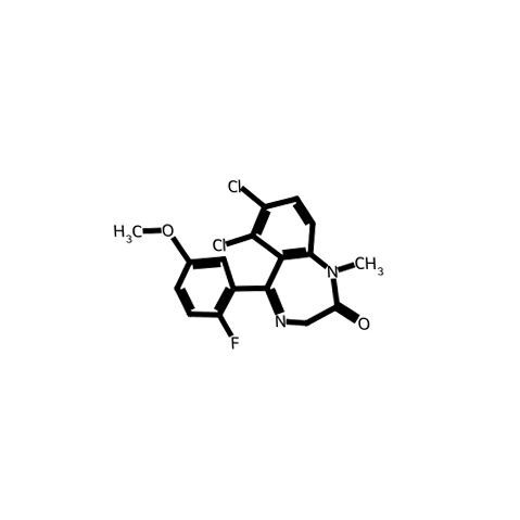 COc1ccc(F)c(C2=NCC(=O)N(C)c3ccc(Cl)c(Cl)c32)c1